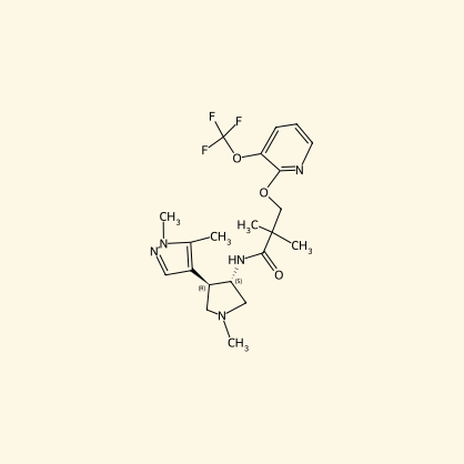 Cc1c([C@@H]2CN(C)C[C@H]2NC(=O)C(C)(C)COc2ncccc2OC(F)(F)F)cnn1C